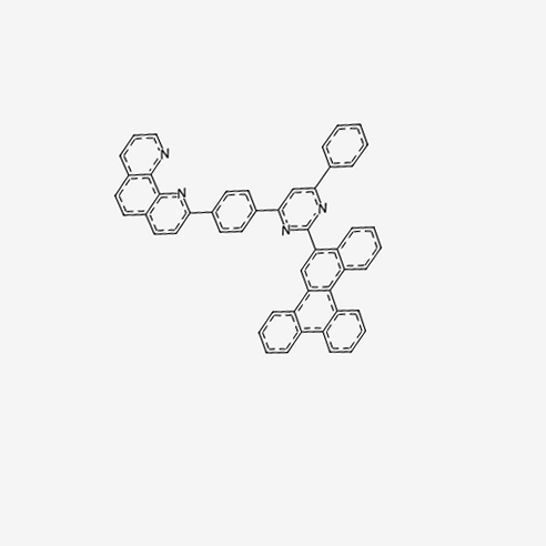 c1ccc(-c2cc(-c3ccc(-c4ccc5ccc6cccnc6c5n4)cc3)nc(-c3cc4c5ccccc5c5ccccc5c4c4ccccc34)n2)cc1